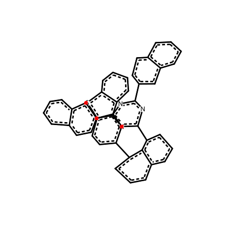 c1ccc2cc(-c3nc(-c4ccc5ccccc5c4)nc(-c4cccc5cccc(-c6ccc7sc8ccccc8c7c6)c45)n3)ccc2c1